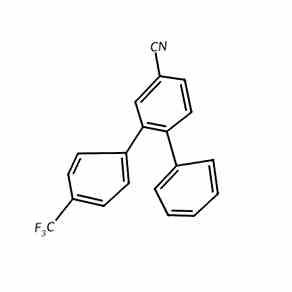 N#Cc1ccc(-c2ccccc2)c(-c2ccc(C(F)(F)F)cc2)c1